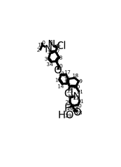 CC(C)n1nc(Cl)c2cc(COc3ccc4c(c3)CCC(CN3CCC(F)(C(=O)O)CC3)=C4Cl)ccc21